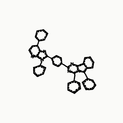 c1ccc(-c2ccnc3c2nc(-c2ccc(-c4nc(-c5ccccc5)n5c(-c6ccccc6)c6ccccc6c5n4)cc2)n3-c2ccccc2)cc1